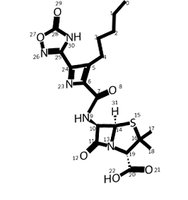 CCCCCC1=C(C(=O)N[C@@H]2C(=O)N3[C@@H]2SC(C)(C)[C@@H]3C(=O)O)N=C1c1noc(=O)[nH]1